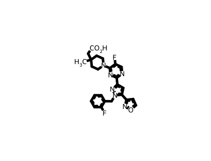 CC1(CC(=O)O)CCN(c2nc(-c3cc(-c4ccon4)n(Cc4ccccc4F)n3)ncc2F)CC1